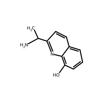 CC(N)c1ccc2cccc(O)c2n1